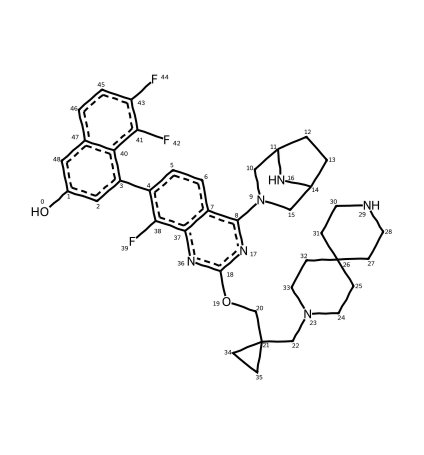 Oc1cc(-c2ccc3c(N4CC5CCC(C4)N5)nc(OCC4(CN5CCC6(CCNCC6)CC5)CC4)nc3c2F)c2c(F)c(F)ccc2c1